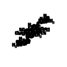 CC(CCC(C)(c1ccc(OC2CCc3cnc(NS(C)(=O)=O)nc32)cc1)c1cc(Cl)c(OCCCl)c(C#N)c1)(c1ccc(OCc2cnc(NS(C)(=O)=O)nc2)cc1)c1cc(Cl)c(OCCCl)c(C#N)c1